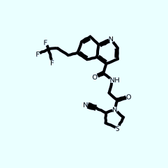 N#CC1CSCN1C(=O)CNC(=O)c1ccnc2ccc(CCC(F)(F)F)cc12